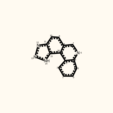 c1ccc2c(c1)ncc1ccc3nn[nH]c3c12